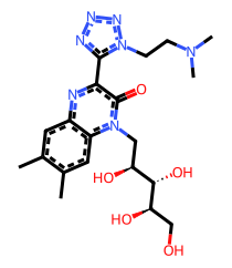 Cc1cc2nc(-c3nnnn3CCN(C)C)c(=O)n(C[C@H](O)[C@H](O)[C@H](O)CO)c2cc1C